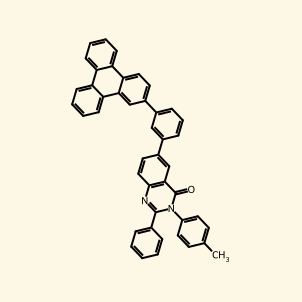 Cc1ccc(-n2c(-c3ccccc3)nc3ccc(-c4cccc(-c5ccc6c7ccccc7c7ccccc7c6c5)c4)cc3c2=O)cc1